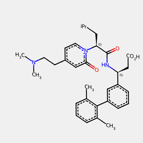 Cc1cccc(C)c1-c1cccc([C@H](CC(=O)O)NC(=O)[C@H](CC(C)C)n2ccc(CCN(C)C)cc2=O)c1